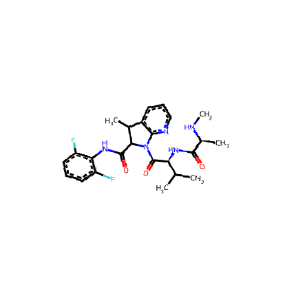 CN[C@@H](C)C(=O)N[C@H](C(=O)N1c2ncccc2C(C)C1C(=O)Nc1c(F)cccc1F)C(C)C